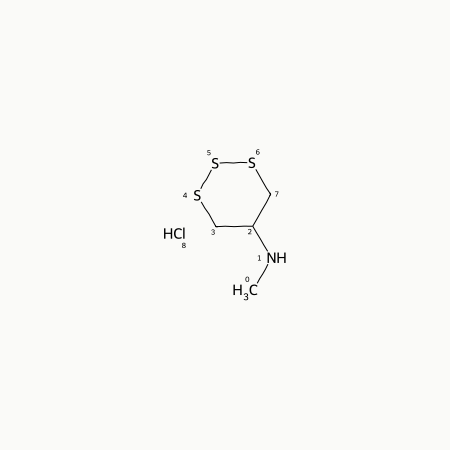 CNC1CSSSC1.Cl